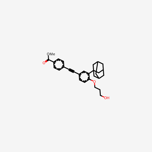 COC(=O)c1ccc(C#Cc2ccc(OCCCO)c(C34CC5CC(CC(C5)C3)C4)c2)cc1